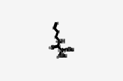 C=CCCNC(=S)N(CCCC)CCCC